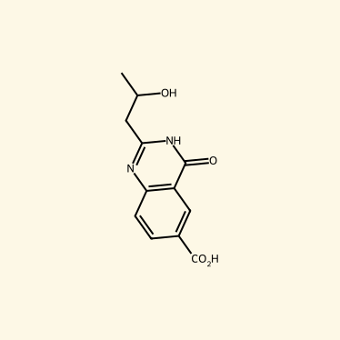 CC(O)Cc1nc2ccc(C(=O)O)cc2c(=O)[nH]1